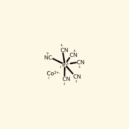 N#[C][Ir-2]([C]#N)([C]#N)([C]#N)([C]#N)[C]#N.[Co+2]